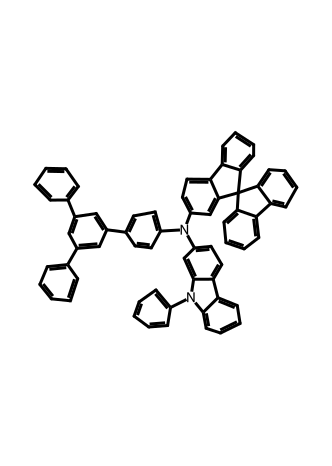 c1ccc(-c2cc(-c3ccccc3)cc(-c3ccc(N(c4ccc5c(c4)C4(c6ccccc6-c6ccccc64)c4ccccc4-5)c4ccc5c6ccccc6n(-c6ccccc6)c5c4)cc3)c2)cc1